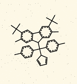 Cc1ccc(C(c2ccc(C)cc2)(C2C=CC=C2)C2c3cc(C)c(C(C)(C)C)cc3-c3cc(C(C)(C)C)c(C)cc32)cc1